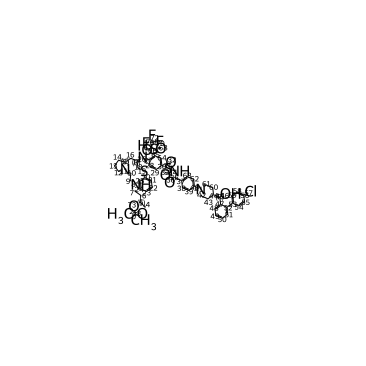 CC1(C)OC[C@H](CCNCCN2CCC[C@H]2C[C@H](CSc2ccccc2)Nc2ccc(S(=O)(=O)NC(=O)c3ccc(N4CCC([C@@H](O)c5ccccc5-c5ccc(Cl)cc5)CC4)cc3)cc2S(=O)(=O)C(F)(F)F)O1